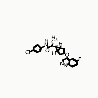 CC(C(=O)Nc1ccc(Cl)cc1)[C@H]1[C@@H]2C[C@@H](Oc3cnnc4ccc(F)cc34)C[C@@H]21